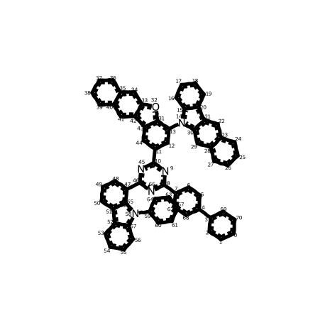 c1ccc(-c2ccc(-c3nc(-c4cc(-n5c6ccccc6c6cc7ccccc7cc65)c5oc6cc7ccccc7cc6c5c4)nc(-c4cccc5c6ccccc6n(-c6ccccc6)c45)n3)cc2)cc1